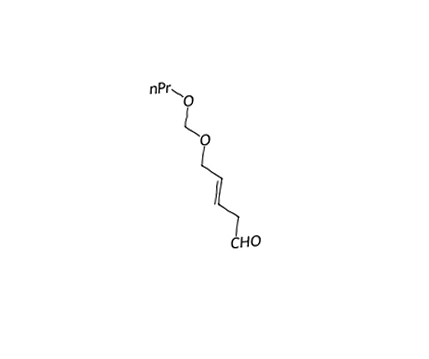 CCCOCOCC=CCC=O